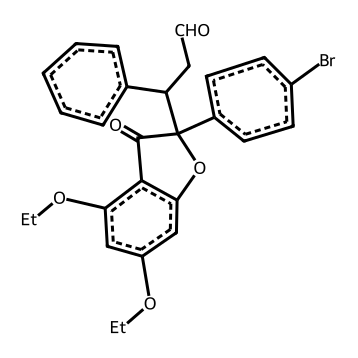 CCOc1cc(OCC)c2c(c1)OC(c1ccc(Br)cc1)(C(CC=O)c1ccccc1)C2=O